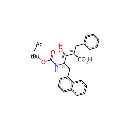 CC(C)(C)OC(=O)N[C@H](Cc1cccc2ccccc12)[C@@H](O)[C@@H](Cc1ccccc1)C(=O)O.CC(C)=O